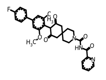 COc1cc(-c2ccc(F)cc2)cc(C)c1C1C(=O)CC2(CCN(C(=O)NC(=O)c3ccccn3)CC2)CC1=O